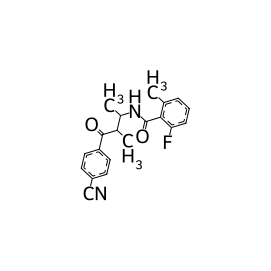 Cc1cccc(F)c1C(=O)NC(C)C(C)C(=O)c1ccc(C#N)cc1